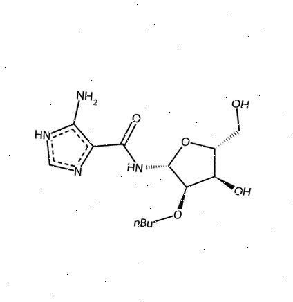 CCCCO[C@@H]1[C@H](O)[C@@H](CO)O[C@H]1NC(=O)c1nc[nH]c1N